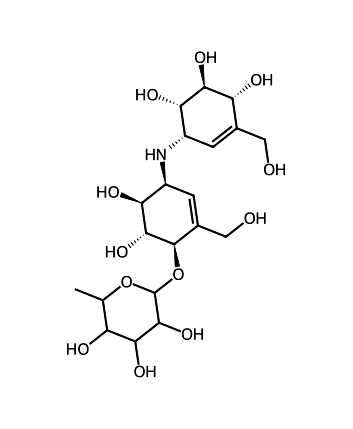 CC1OC(O[C@@H]2C(CO)=C[C@H](N[C@H]3C=C(CO)[C@@H](O)[C@H](O)[C@H]3O)[C@H](O)[C@H]2O)C(O)C(O)C1O